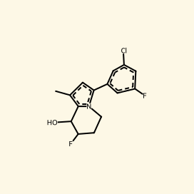 Cc1cc(-c2cc(F)cc(Cl)c2)n2c1C(O)C(F)CC2